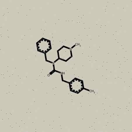 Cc1ccc(CNC(=O)N(Cc2ccccc2)C2CCN(C)CC2)cc1